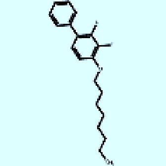 CCCCCCCCOc1ccc(-c2cc[c]cc2)c(F)c1F